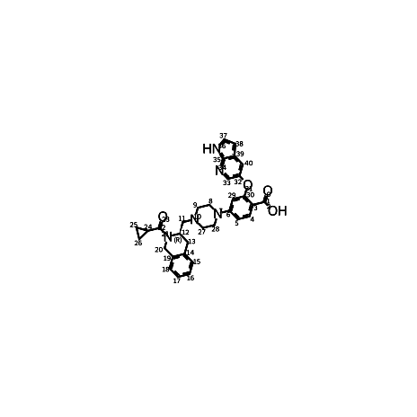 O=C(O)c1ccc(N2CCN(C[C@H]3Cc4ccccc4CN3C(=O)C3CC3)CC2)cc1Oc1cnc2[nH]ccc2c1